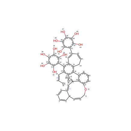 C=C1/C=C2/C=CC=CC2C=CCOc2cccc(-c3c4c(c(-c5c(O)c(O)c(O)c(O)c5O)c(/C=C\CC)c3CC)C=C(c3c(O)c(O)c(O)c(O)c3O)C=CC4)c21